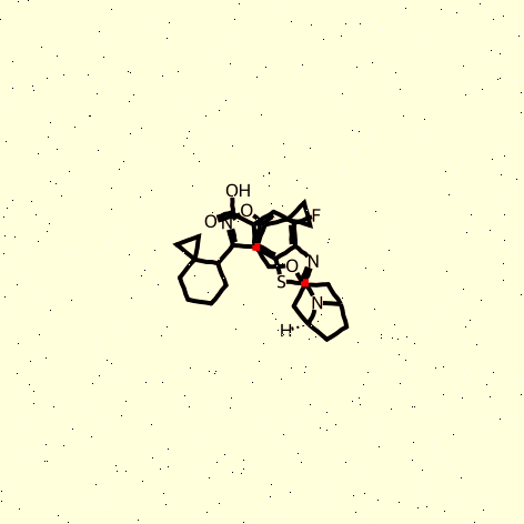 O=C(O)c1cc(F)c2nc(N3C4CC[C@H]3CC(OCc3c(C5CCCCC56CC6)noc3C3CC3)C4)sc2c1